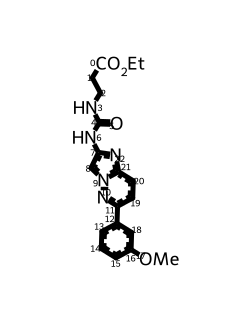 CCOC(=O)CCNC(=O)Nc1cn2nc(-c3cccc(OC)c3)ccc2n1